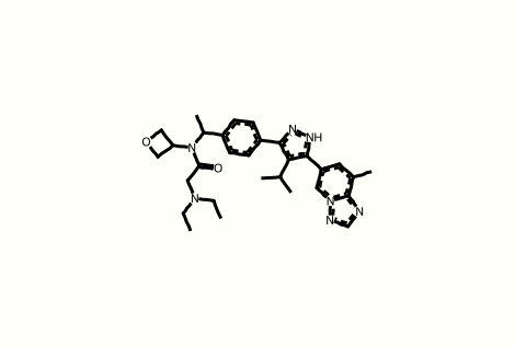 CCN(CC)CC(=O)N(C1COC1)C(C)c1ccc(-c2n[nH]c(-c3cc(C)c4ncnn4c3)c2C(C)C)cc1